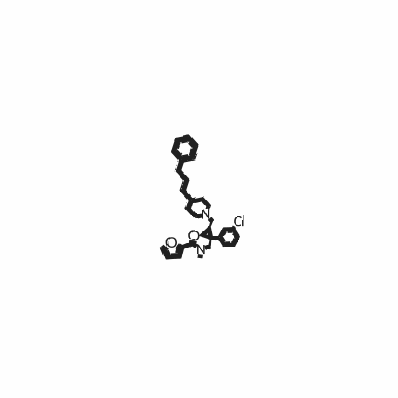 CN(C[C@@]1(c2cccc(Cl)c2)C[C@H]1CN1CCC(CCCc2ccccc2)CC1)C(=O)c1ccco1